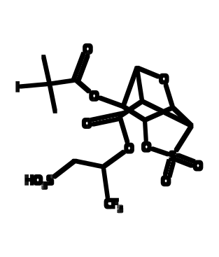 CC(C)(I)C(=O)OC1C2OS(=O)(=O)C3C2OC1C3C(=O)OC(CS(=O)(=O)O)C(F)(F)F